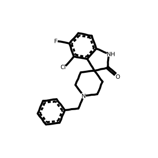 O=C1Nc2ccc(F)c(Cl)c2C12CCN(Cc1ccccc1)CC2